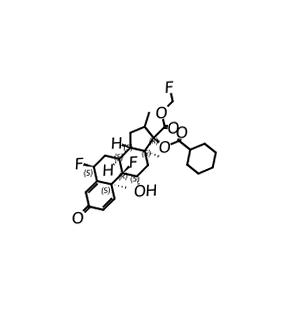 CC1C[C@H]2[C@@H]3C[C@H](F)C4=CC(=O)C=C[C@]4(C)[C@@]3(F)[C@@H](O)C[C@]2(C)[C@@]1(OC(=O)C1CCCCC1)C(=O)OCF